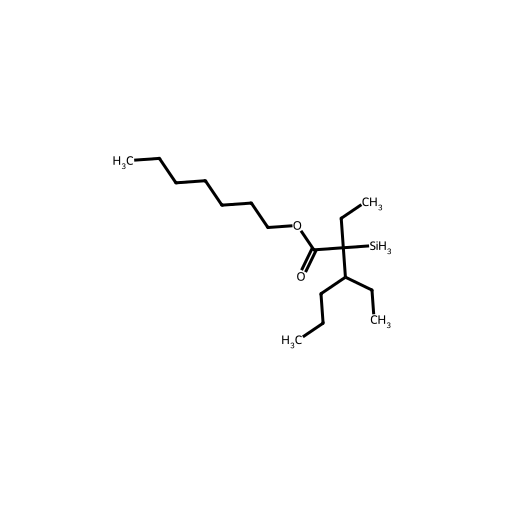 CCCCCCCOC(=O)C([SiH3])(CC)C(CC)CCC